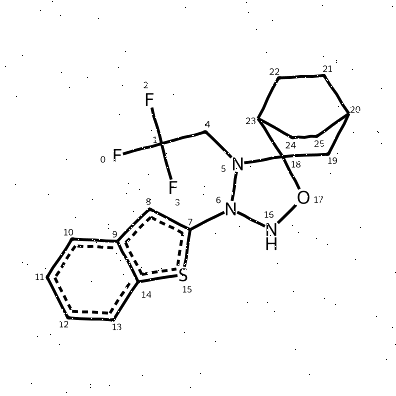 FC(F)(F)CN1N(c2cc3ccccc3s2)NOC12CC1CCC2CC1